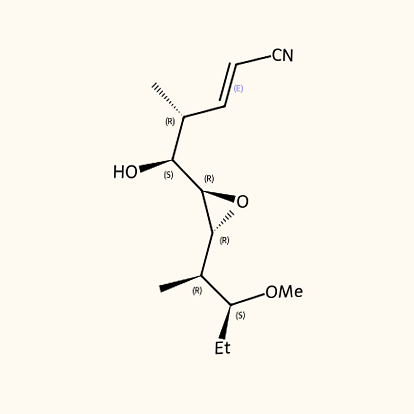 CC[C@H](OC)[C@@H](C)[C@H]1O[C@@H]1[C@@H](O)[C@H](C)/C=C/C#N